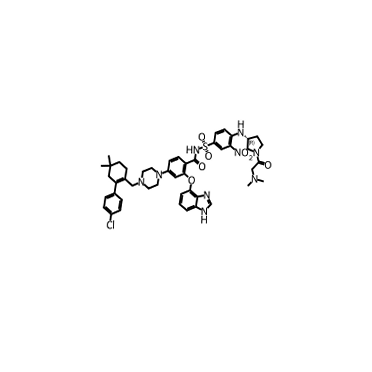 CN(C)CC(=O)N1CC[C@@H](Nc2ccc(S(=O)(=O)NC(=O)c3ccc(N4CCN(CC5=C(c6ccc(Cl)cc6)CC(C)(C)CC5)CC4)cc3Oc3cccc4[nH]cnc34)cc2[N+](=O)[O-])C1